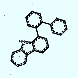 [c]1ccccc1-c1ccccc1-c1cccc2c1[nH]c1ccccc12